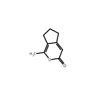 Cc1oc(=O)cc2c1CCC2